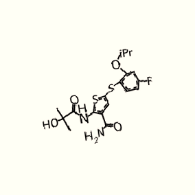 CC(C)Oc1cc(F)ccc1Sc1cc(C(N)=O)c(NC(=O)C(C)(C)O)s1